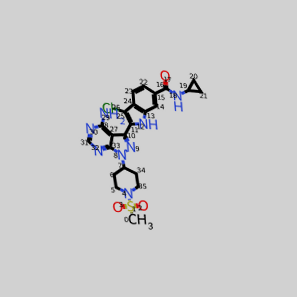 CS(=O)(=O)N1CCC(n2nc(-c3[nH]c4cc(C(=O)NC5CC5)ccc4c3Cl)c3c(N)ncnc32)CC1